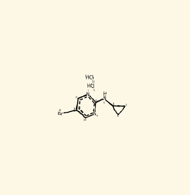 Brc1cnc(NC2CC2)nc1.Cl.Cl